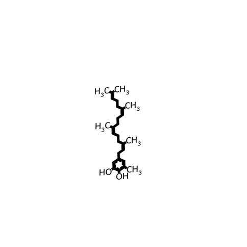 CC(C)=CCCC(C)=CCCC(C)=CCCC(C)=CCc1cc(C)c(O)c(O)c1